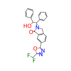 O=C1c2cc(-c3nnc(C(F)F)o3)ccc2CN1[C@H](c1ccccc1)[C@@H](O)c1ccccc1